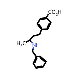 CC(CCc1ccc(C(=O)O)cc1)NCc1ccccc1